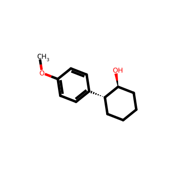 COc1ccc([C@H]2CCCC[C@@H]2O)cc1